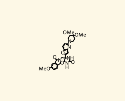 COc1ccc2c(c1)C(=O)N(C[C@@]1(c3cc4nc(N5CCC(OC)(OC)CC5)ccc4o3)NC(=O)NC1=O)C2